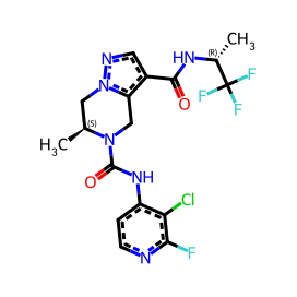 C[C@H]1Cn2ncc(C(=O)N[C@H](C)C(F)(F)F)c2CN1C(=O)Nc1ccnc(F)c1Cl